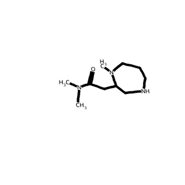 CN(C)C(=O)CC1CNCCCN1C